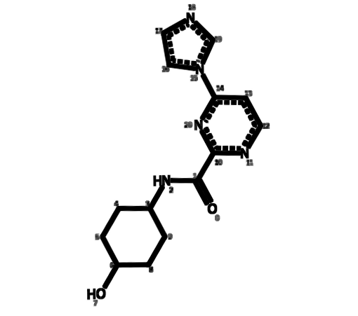 O=C(NC1CCC(O)CC1)c1nccc(-n2ccnc2)n1